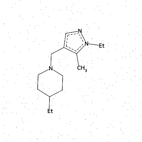 CCC1CCN(Cc2cnn(CC)c2C)CC1